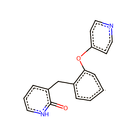 O=c1[nH]cccc1Cc1cc[c]cc1Oc1ccncc1